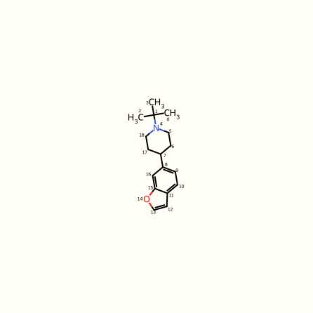 CC(C)(C)N1CCC(c2ccc3ccoc3c2)CC1